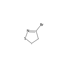 BrC1=NS[CH]C1